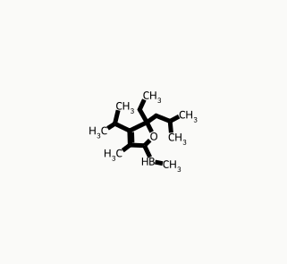 CBC1OC(CC)(CC(C)C)C(C(C)C)=C1C